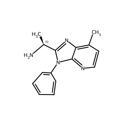 Cc1ccnc2c1nc([C@H](C)N)n2-c1ccccc1